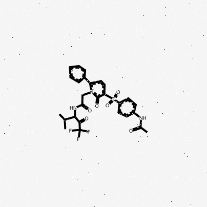 CC(=O)Nc1ccc(S(=O)(=O)c2ccc(-c3ccccc3)n(CC(=O)NC(C(=O)C(F)(F)F)C(C)C)c2=O)cc1